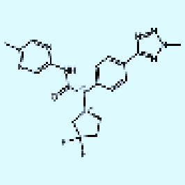 Cc1cnc(NC(=O)[C@H](c2ccc(-c3nnn(C)n3)cc2)[C@H]2CCC(F)(F)C2)cn1